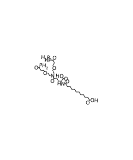 O=C(O)CCCCCCCCCCC(=O)NC(CCC(=O)N(CCOCCC(=O)P)CCOCCC(=O)PP)C(=O)O